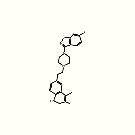 CC1=C(C)c2cc(CCN3CCN(c4nsc5cc(F)ccc45)CC3)ccc2NC1